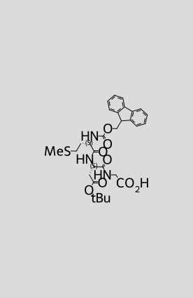 CSCC[C@H](NC(=O)OCC1c2ccccc2-c2ccccc21)C(=O)N[C@@H](CC(=O)OC(C)(C)C)C(=O)NCC(=O)O